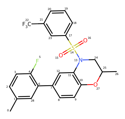 Cc1ccc(F)c(-c2ccc3c(c2)N(S(=O)(=O)c2cccc(C(F)(F)F)c2)CC(C)O3)c1